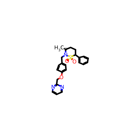 C[C@H]1CCC(c2ccccc2)S(=O)(=O)N1Cc1ccc(OCc2ncccn2)cc1